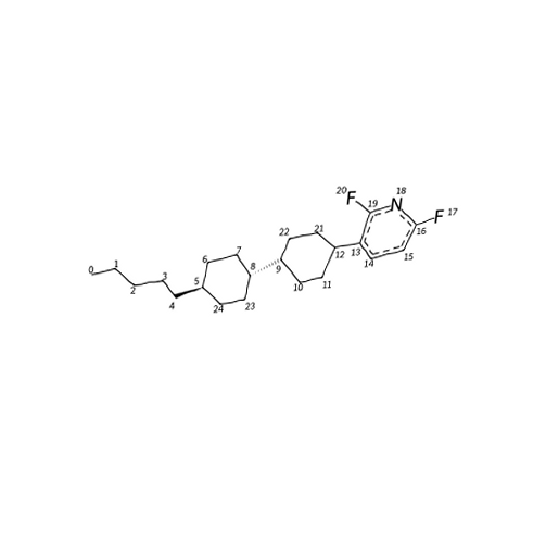 CCCCC[C@H]1CC[C@H](C2CCC(c3ccc(F)nc3F)CC2)CC1